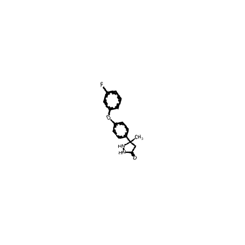 CC1(c2ccc(Oc3cccc(F)c3)cc2)CC(=O)NN1